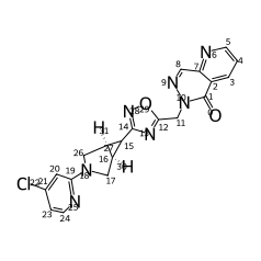 O=c1c2cccnc2cnn1Cc1nc(C2[C@H]3CN(c4cc(Cl)ccn4)C[C@@H]23)no1